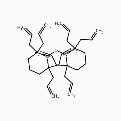 C=CCC1(CC=C)CCCC(CC=C)(CC=C)N1ON1C(CC=C)(CC=C)CCCC1(CC=C)CC=C